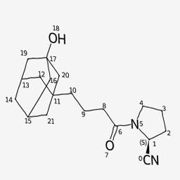 N#C[C@@H]1CCCN1C(=O)CCCC12CC3CC(CC(O)(C3)C1)C2